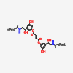 CCCCCC(C)NCC(O)c1cc(O)cc(OC(=O)/C=C/C(=O)Oc2cc(O)cc(C(O)CNC(C)CCCCC)c2)c1